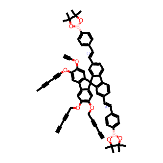 C#CC#CCOc1cc2c(cc1OCC#CC#C)C1(c3cc(/C=C/c4ccc(B5OC(C)(C)C(C)(C)O5)cc4)ccc3-c3ccc(/C=C/c4ccc(B5OC(C)(C)C(C)(C)O5)cc4)cc31)c1cc(OC#C)c(OC#CC#CC)cc1-2